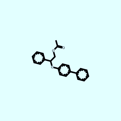 CC(=O)OCC(Oc1ccc(-c2ccccc2)cc1)c1ccccc1